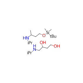 CC(C)NC(C)CCO[Si](C)(C)C(C)(C)C.CC(C)NCC(O)CCO